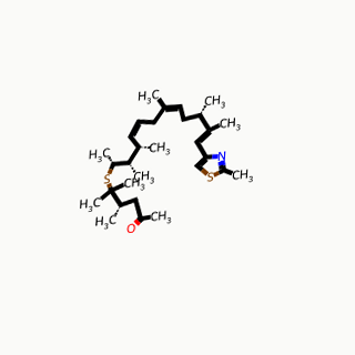 CC(=O)C[C@H](C)C(C)(C)S[C@H](C)[C@@H](C)[C@@H](C)/C=C\C/C(C)=C\C[C@H](C)/C(C)=C/c1csc(C)n1